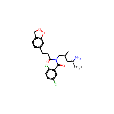 CC(C[C@@H](N)C(=O)O)CN(C(=O)CCc1ccc2c(c1)OOC2)C(=O)c1cc(Cl)ccc1Cl